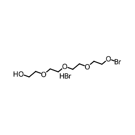 Br.OCCOCCOCCOCCOBr